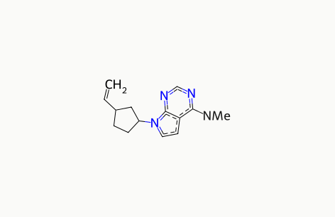 C=CC1CCC(n2ccc3c(NC)ncnc32)C1